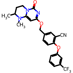 CC1CCn2c(cc(OCc3ccc(Oc4cccc(C(F)(F)F)c4)c(C#N)c3)nc2=O)N1C